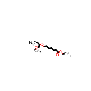 CCOC(=O)CCCCCCOC(CC)COC